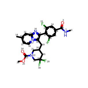 CNC(=O)c1cc(F)c(-c2nc3cc(C)ccn3c2CC2CN(C(=O)OC)CC(F)(F)C2)c(F)c1